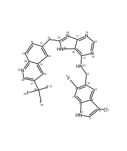 Fc1cc2[nH]cc(Cl)c2cc1CNc1ncnc2nc(Cc3ccc4ncc(C(F)(F)F)cc4c3)[nH]c12